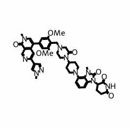 COc1cc(-c2cn(C)c(=O)c3cnc(-c4cnn(C)c4)cc23)cc(OC)c1CN1CCN(C2CCN(c3cccc4c3n(C)c(=O)n4C3CCC(=O)NC3=O)CC2)C(=O)C1